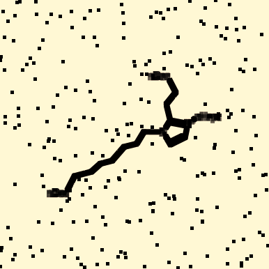 CCCCCCCCCCCCCCCCCn1cc[n+](CCCCCCC)c1CCCCCCCCCCCC